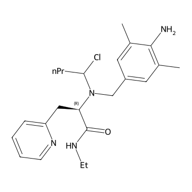 CCCC(Cl)N(Cc1cc(C)c(N)c(C)c1)[C@H](Cc1ccccn1)C(=O)NCC